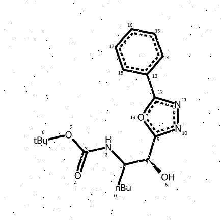 CCCCC(NC(=O)OC(C)(C)C)[C@H](O)c1nnc(-c2ccccc2)o1